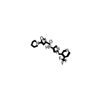 O=C(Nc1cnn(Cc2cnccc2C(F)(F)F)c1)c1cc(N2CCCCC2)on1